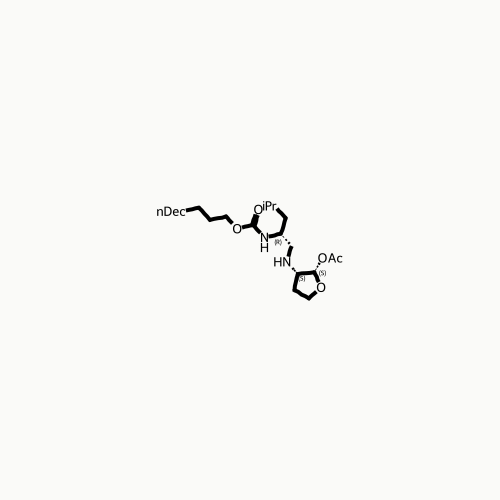 CCCCCCCCCCCCCOC(=O)N[C@@H](CN[C@H]1CCO[C@H]1OC(C)=O)CC(C)C